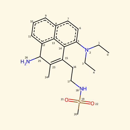 CCN(CC)c1ccc2cccc3c2c1C(CCNS(C)(=O)=O)=C(C)C3N